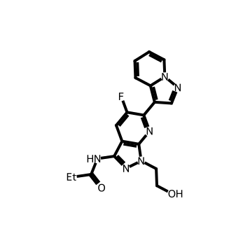 CCC(=O)Nc1nn(CCO)c2nc(-c3cnn4ccccc34)c(F)cc12